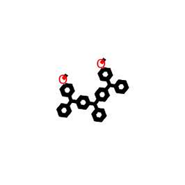 COc1ccc(C(c2ccccc2)c2ccc(C(c3ccccc3)c3ccc(C(c4ccccc4)c4ccc(OC)cc4)cc3)cc2)cc1